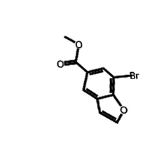 COC(=O)c1cc(Br)c2occc2c1